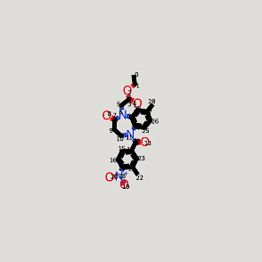 CCOC(=O)CN1C(=O)CCN(C(=O)c2ccc([N+](=O)[O-])c(C)c2)c2ccc(C)cc21